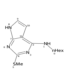 CCCCCCNc1nc(SC)nc2[nH]ccc12